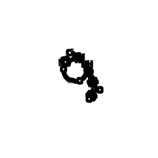 O=C(N1CCOCC1)N1CCN(c2ccc3cc2COC/C=C/CCOc2cc(ccn2)-c2nc(ncc2Cl)N3)CC1